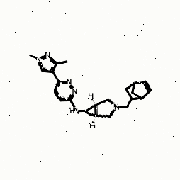 Cc1nn(C)cc1-c1ccc(NC2[C@H]3CN(CC4CC5C=CC4C5)C[C@@H]23)nn1